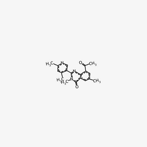 CC(=O)c1cc(C)cc2c(=O)n(C)c(-c3cnc(C)cc3C)nc12